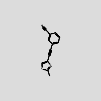 Cc1nc(C#Cc2cccc(C#N)c2)cs1